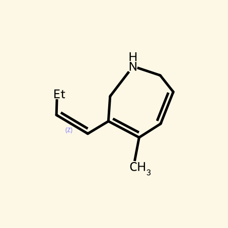 CC/C=C\C1=C(C)C=CCNC1